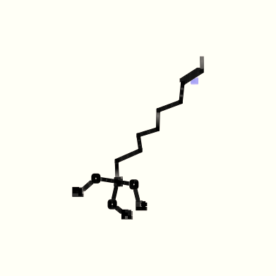 C/C=C/CCCCCC[Si](OCC)(OCC)OCC